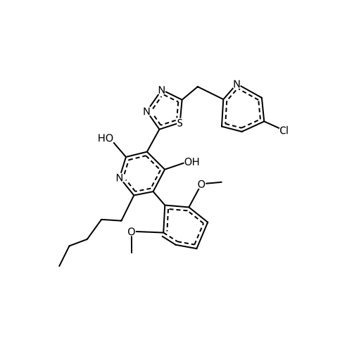 CCCCCc1nc(O)c(-c2nnc(Cc3ccc(Cl)cn3)s2)c(O)c1-c1c(OC)cccc1OC